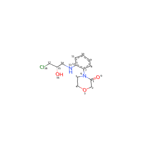 O=C1COCCN1c1ccccc1NC[C@H](O)CCl